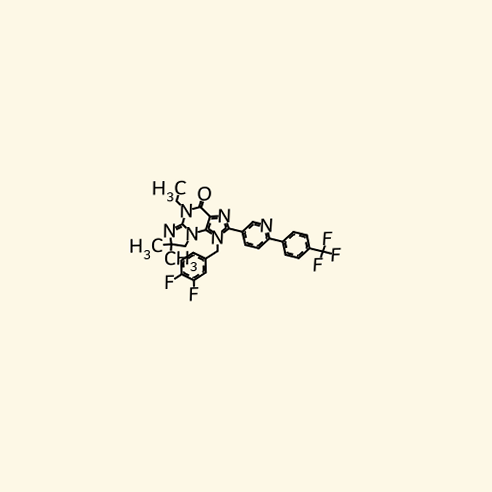 CCN1C(=O)c2nc(-c3ccc(-c4ccc(C(F)(F)F)cc4)nc3)n(Cc3ccc(F)c(F)c3)c2N2CC(C)(C)N=C12